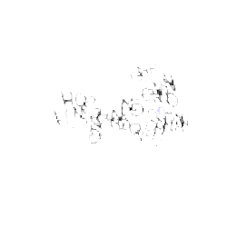 CCn1nc(C)cc1C(=O)Nc1nc2cc(C(N)=O)cc(OC)c2n1C/C=C/Cn1c(NC(=O)c2cc(C)nn2CC)nc2cc(C(N)=O)cc(OCCCN(C)C(=O)C(COC)NC(=O)CCN3C(=O)CC(SC[C@H](N)C(=O)O)C3=O)c21